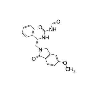 COc1ccc2c(c1)CN(/C=C(\NC(=O)NC=O)c1ccccc1)C2=O